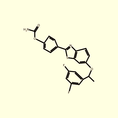 CC(Oc1ccc2nc(-c3ccc(OC(N)=O)cc3)sc2c1)c1cc(F)cc(F)c1